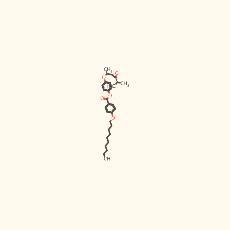 CCCCCCCCCCOc1ccc(C(=O)Oc2ccc(O[C@@H](C)[C@@H]3O[C@H]3C(C)C)cc2)cc1